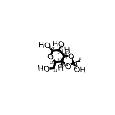 C[C@]1(O)O[C@@H]2[C@H](O)C(O)OC(CO)[C@H]2O1